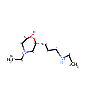 CCNCCC[C@@H]1CN(CC)CCO1